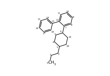 CCCC1CCC(c2ccccc2-c2ccccc2)CC1